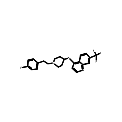 Fc1ccc(CCN2CCC(Sc3ccnc4cc(C(F)(F)F)ccc34)CC2)cc1